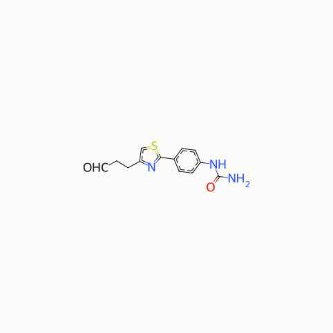 NC(=O)Nc1ccc(-c2nc(CCC=O)cs2)cc1